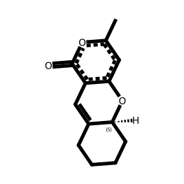 Cc1cc2c(c(=O)o1)C=C1CCCC[C@@H]1O2